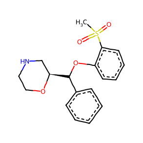 CS(=O)(=O)c1ccccc1OC(c1ccccc1)[C@@H]1CNCCO1